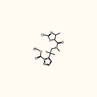 CC1N=C(Cl)SC1C(=O)N(C)CC(C)(C)c1ccnn1C(=O)OC(C)(C)C